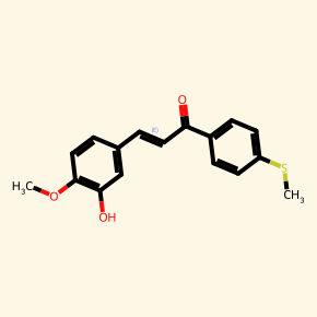 COc1ccc(/C=C/C(=O)c2ccc(SC)cc2)cc1O